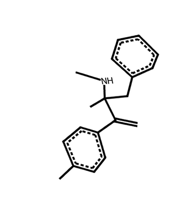 C=C(c1ccc(C)cc1)C(C)(Cc1ccccc1)NC